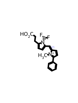 C[N+]1=C(c2ccccc2)C=C/C1=C/c1ccc(CCC(=O)O)n1B(F)F